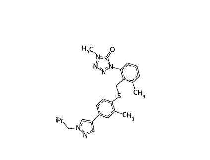 Cc1cc(-c2cnn(CC(C)C)c2)ccc1SCc1c(C)cccc1-n1nnn(C)c1=O